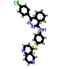 Clc1ccc(-c2nnc(Nc3ccc(Sc4ccnc5ccncc45)cc3)c3ccccc23)cc1